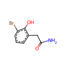 NC(=O)Cc1cccc(Br)c1O